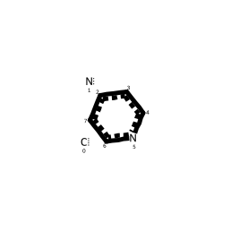 [C].[N].c1ccncc1